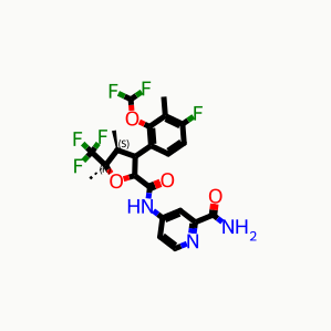 Cc1c(F)ccc(C2C(C(=O)Nc3ccnc(C(N)=O)c3)O[C@@](C)(C(F)(F)F)[C@H]2C)c1OC(F)F